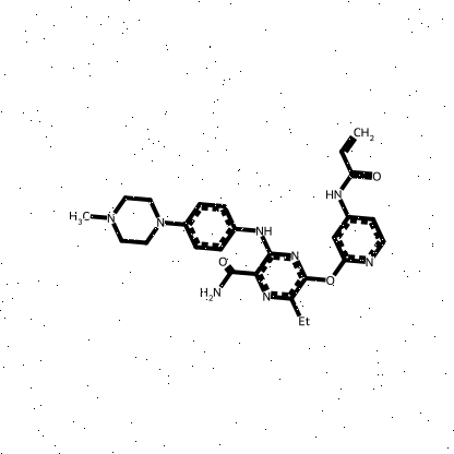 C=CC(=O)Nc1ccnc(Oc2nc(Nc3ccc(N4CCN(C)CC4)cc3)c(C(N)=O)nc2CC)c1